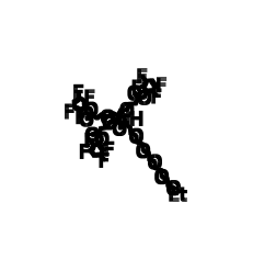 CCOCCOCCOCCOCCOCCC(=O)NC(COCCC(=O)Oc1c(F)c(F)cc(F)c1F)(COCCC(=O)Oc1c(F)c(F)cc(F)c1F)COCCC(=O)Oc1c(F)c(F)cc(F)c1F